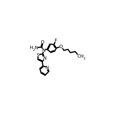 CCCCCOc1ccc(N(C(N)=O)c2nc(-c3ccccn3)cs2)cc1F